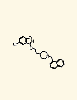 Clc1ccc2onc(OCCC3CCN(Cc4cccc5ccccc45)CC3)c2c1